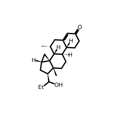 CCC(O)[C@H]1C[C@@H]2C[C@]23[C@H]2[C@H](CC[C@]13C)[C@H]1CCC(=O)C=C1C[C@H]2C